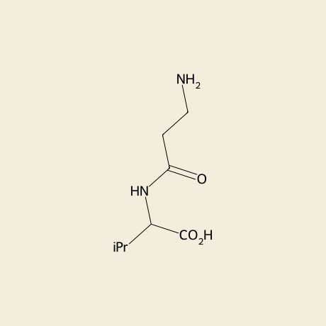 CC(C)C(NC(=O)CCN)C(=O)O